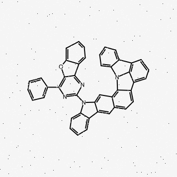 c1ccc(-c2nc(-n3c4ccccc4c4cc5ccc6c7cccc8c9ccccc9n(c6c5cc43)c87)nc3c2oc2ccccc23)cc1